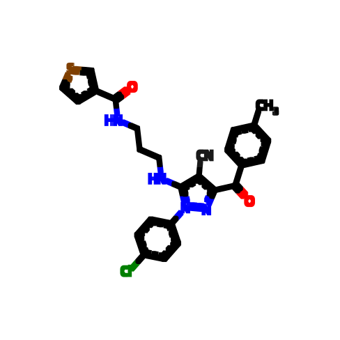 Cc1ccc(C(=O)c2nn(-c3ccc(Cl)cc3)c(NCCCNC(=O)c3ccsc3)c2C#N)cc1